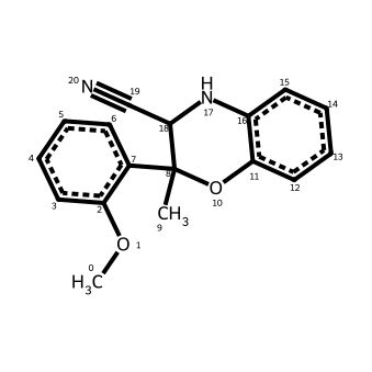 COc1ccccc1C1(C)Oc2ccccc2NC1C#N